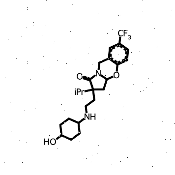 CC(C)C1(CCNC2CCC(O)CC2)CC2Oc3ccc(C(F)(F)F)cc3CN2C1=O